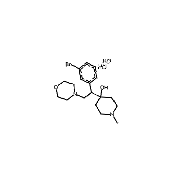 CN1CCC(O)(C(CN2CCOCC2)c2cccc(Br)c2)CC1.Cl.Cl